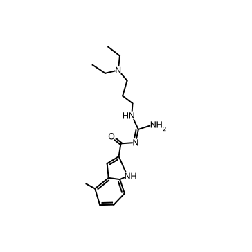 CCN(CC)CCCNC(N)=NC(=O)c1cc2c(C)cccc2[nH]1